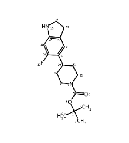 CC(C)(C)OC(=O)N1CCC(c2cc3c(cc2F)NCC3)CC1